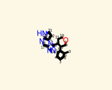 Cc1ccccc1C1COCCC1c1nnc2cnc3[nH]ccc3n12